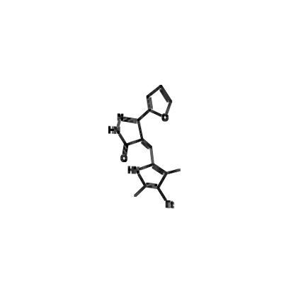 CCc1c(C)[nH]c(C=C2C(=O)NN=C2c2ccco2)c1C